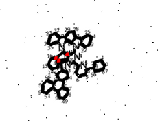 c1ccc(-c2cccc(-c3nc(-c4ccccc4)nc(-n4c5ccccc5c5ccc6c7ccccc7n(-c7ccc(-c8ccc9c%10ccccc%10c%10ccccc%10c9c8)cc7)c6c54)n3)n2)cc1